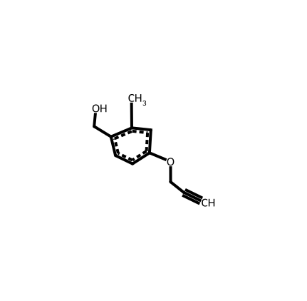 C#CCOc1ccc(CO)c(C)c1